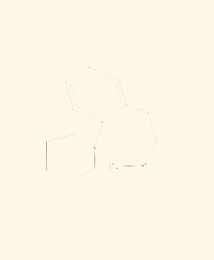 O=C1CCc2ccccc2C2(CCCCC2)N1